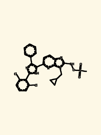 CS(=O)(=O)ONc1nc2ccc(-c3[nH]c(-c4c(Cl)cccc4Cl)nc3-c3ccccc3)nc2n1CC1CC1